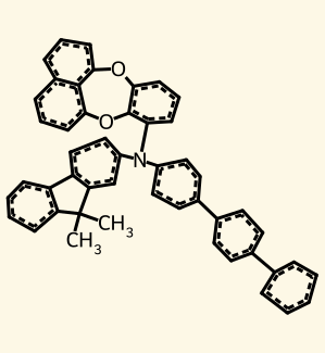 CC1(C)c2ccccc2-c2ccc(N(c3ccc(-c4ccc(-c5ccccc5)cc4)cc3)c3cccc4c3Oc3cccc5cccc(c35)O4)cc21